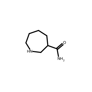 NC(=O)C1CCCCNC1